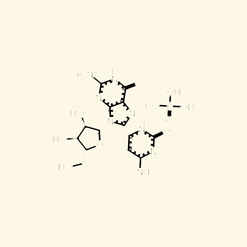 Nc1cc[nH]c(=O)n1.Nc1nc2c(ncn2[C@@H]2O[C@H](CO)[C@@H](O)[C@H]2O)c(=O)[nH]1.O=P(O)(O)O